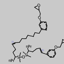 CCCC(CC/C=C\CCCCCCCc1cccc(OCC2CO2)c1)[Si](C)(C)O[Si](C)(C)C(CCC)CC/C=C/c1cccc(OCC2CO2)c1